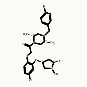 C[C@@H]1CN(Cc2ccc(F)cc2)[C@@H](C)CN1C(=O)COc1ccc(Cl)cc1O[C@H]1C[C@@H](C(=O)O)N(C)C1